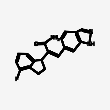 NC(=O)C(=Cc1ccc2cn[nH]c2c1)C1CCc2c(F)cccc21